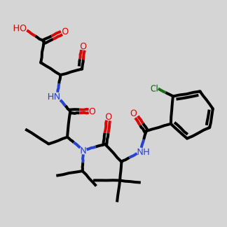 CCC(C(=O)NC(C=O)CC(=O)O)N(C(=O)C(NC(=O)c1ccccc1Cl)C(C)(C)C)C(C)C